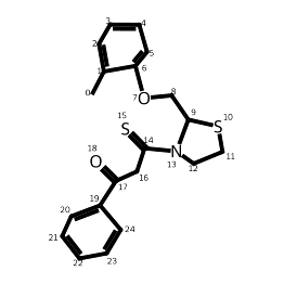 Cc1ccccc1OCC1SCCN1C(=S)CC(=O)c1ccccc1